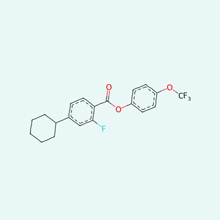 O=C(Oc1ccc(OC(F)(F)F)cc1)c1ccc(C2CCCCC2)cc1F